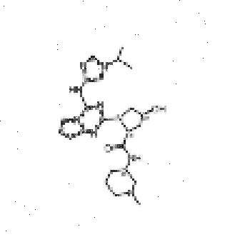 CC(C)n1cnc(Nc2nc(N3C[C@@H](O)C[C@H]3C(=O)N[C@@H]3CCCN(C)C3)nc3cccn23)c1